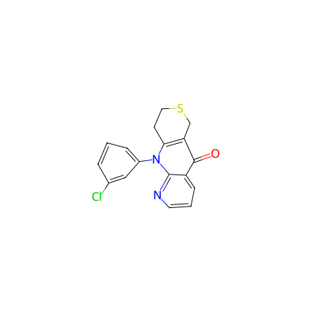 O=c1c2c(n(-c3cccc(Cl)c3)c3ncccc13)CCSC2